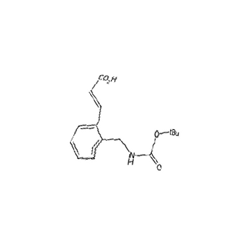 CC(C)(C)OC(=O)NCc1ccccc1C=CC(=O)O